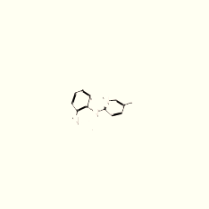 O=[N+]([O-])c1ccc(Cl)cc1Nc1ccc(F)cn1